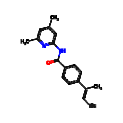 C/C(=C\C(C)(C)C)c1ccc(C(=O)Nc2cc(C)cc(C)n2)cc1